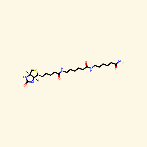 NC(=O)CCCCCNC(=O)CCCCCNC(=O)CCCC[C@@H]1SC[C@@H]2NC(=O)N[C@@H]21